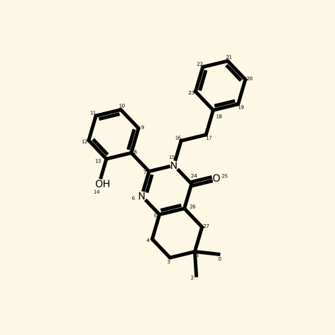 CC1(C)CCc2nc(-c3ccccc3O)n(CCc3ccccc3)c(=O)c2C1